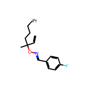 C=CC(C)(CCCC(C)C)ON=Cc1ccc(F)cc1